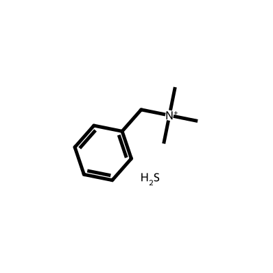 C[N+](C)(C)Cc1ccccc1.S